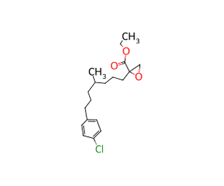 CCOC(=O)C1(CCCC(C)CCCc2ccc(Cl)cc2)CO1